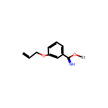 C=CCOc1cccc(C(=N)OCC)c1